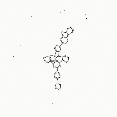 c1ccc(-c2ccc(-c3nc(-c4ccccc4)nc(-c4ccccc4-n4c5ccccc5c5ccc(-c6ccc7c(c6)oc6ccccc67)cc54)n3)cc2)cc1